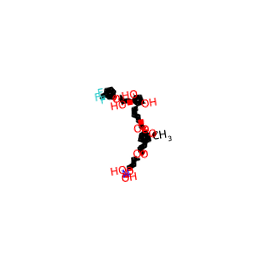 COc1cc(/C=C/C(=O)OCCCCON(O)O)ccc1OC(=O)CCC/C=C\C[C@@H]1[C@@H](/C=C/[C@@H](O)COc2cccc(C(F)(F)F)c2)[C@H](O)C[C@@H]1O